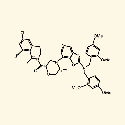 COc1ccc(CN(Cc2ccc(OC)cc2OC)c2nc3cncc(N4C[C@H](C(=O)N5CCc6cc(Cl)cc(Cl)c6[C@@H]5C)OC[C@H]4C)c3o2)c(OC)c1